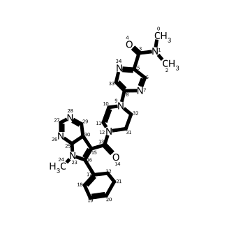 CN(C)C(=O)c1cnc(N2C=CN(C(=O)C3=C(C4=CC=CCC4)N(C)C4N=CN=CC34)CC2)cn1